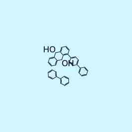 OC1c2ccccc2C(O)c2c(-c3ccc(-c4ccccc4)cc3)cccc21.c1ccc(-c2ccccc2)cc1